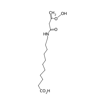 C=C(CC(=O)NCCCCCCCCCCC(=O)O)OO